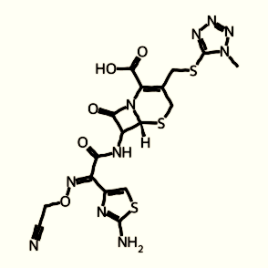 Cn1nnnc1SCC1=C(C(=O)O)N2C(=O)C(NC(=O)/C(=N/OCC#N)c3csc(N)n3)[C@H]2SC1